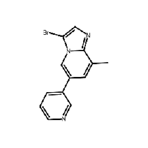 Cc1cc(-c2cccnc2)cn2c(Br)cnc12